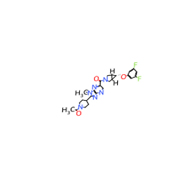 CC(=O)N1CCC(c2nc3ncc(C(=O)N4C[C@@H]5[C@H](COc6cc(F)cc(F)c6)[C@@H]5C4)nc3n2C)CC1